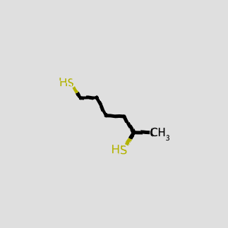 CC(S)CCCCS